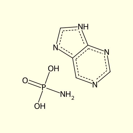 NP(=O)(O)O.c1ncc2nc[nH]c2n1